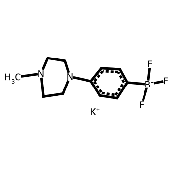 CN1CCN(c2ccc([B-](F)(F)F)cc2)CC1.[K+]